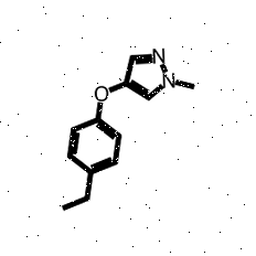 CCc1ccc(Oc2cnn(C)c2)cc1